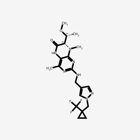 CO[C@H](C)[C@H]1C(=O)Nc2c(C)nc(NCc3cnn(CC4(C(F)(F)F)CC4)c3)nc2N1C